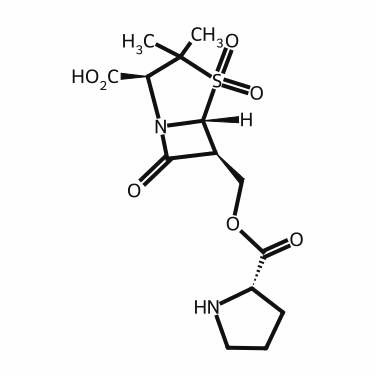 CC1(C)[C@H](C(=O)O)N2C(=O)[C@H](COC(=O)[C@@H]3CCCN3)[C@H]2S1(=O)=O